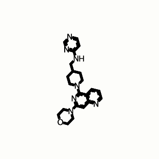 c1cnc2cc(N3CCOCC3)nc(N3CCC(CNc4ccncn4)CC3)c2c1